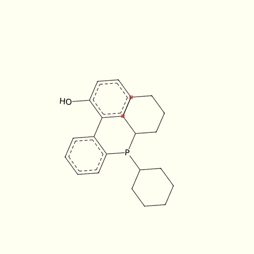 Oc1ccccc1-c1ccccc1P(C1CCCCC1)C1CCCCC1